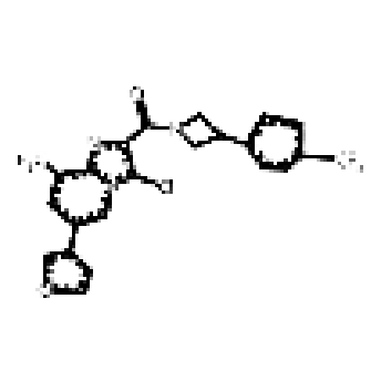 O=C(c1nc2c(C(F)(F)F)cc(-c3ccoc3)cn2c1Cl)N1CC(c2ccc(C(F)(F)F)cc2)C1